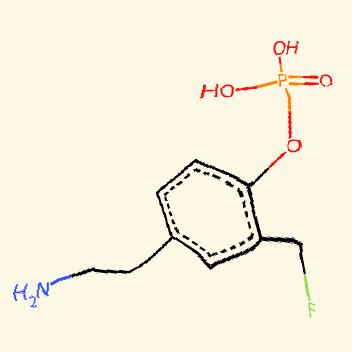 NCCc1ccc(OP(=O)(O)O)c(CF)c1